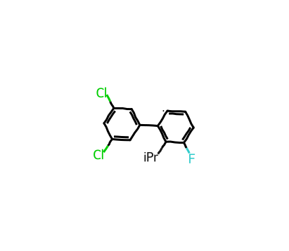 CC(C)c1c(-c2cc(Cl)cc(Cl)c2)[c]ccc1F